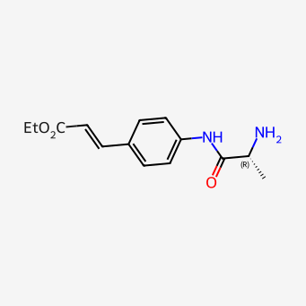 CCOC(=O)C=Cc1ccc(NC(=O)[C@@H](C)N)cc1